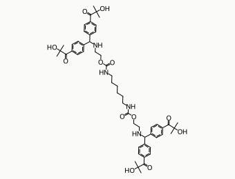 CC(C)(O)C(=O)c1ccc(C(NCCOC(=O)NCCCCCCNC(=O)OCCNC(c2ccc(C(=O)C(C)(C)O)cc2)c2ccc(C(=O)C(C)(C)O)cc2)c2ccc(C(=O)C(C)(C)O)cc2)cc1